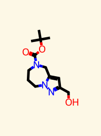 CC(C)(C)OC(=O)N1CCCn2nc(CO)cc2C1